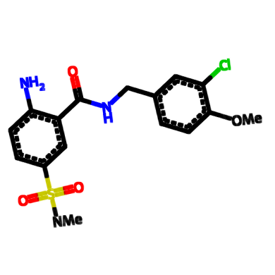 CNS(=O)(=O)c1ccc(N)c(C(=O)NCc2ccc(OC)c(Cl)c2)c1